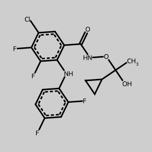 CC(O)(ONC(=O)c1cc(Cl)c(F)c(F)c1Nc1ccc(F)cc1F)C1CC1